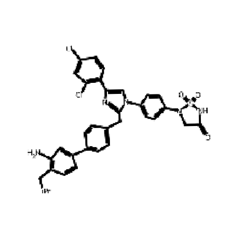 CC(C)Cc1ccc(-c2ccc(Cc3nc(-c4ccc(Cl)cc4Cl)cn3-c3ccc(N4CC(=O)NS4(=O)=O)cc3)cc2)cc1N